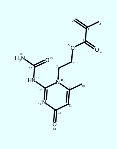 C=C(C)C(=O)OCCn1c(C)cc(=O)nc1NC(N)=O